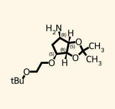 CC(C)(C)OCCO[C@H]1C[C@@H](N)[C@@H]2OC(C)(C)O[C@@H]21